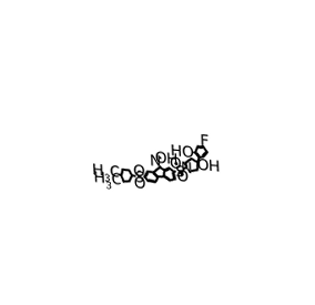 CC1(C)CCC(S(=O)(=O)c2ccc3c(c2)/C(=N/O)c2cc(S(=O)(=O)N4CCC(O)(c5ccc(F)cc5O)CC4)ccc2-3)CC1